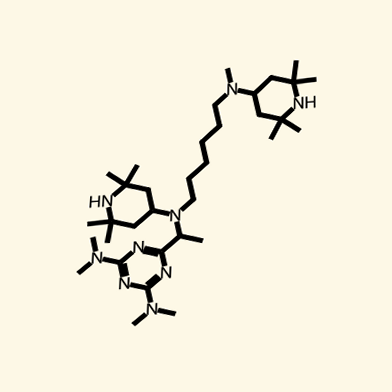 CC(c1nc(N(C)C)nc(N(C)C)n1)N(CCCCCCN(C)C1CC(C)(C)NC(C)(C)C1)C1CC(C)(C)NC(C)(C)C1